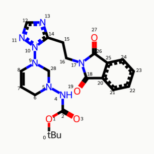 CC(C)(C)OC(=O)NN1CC=CN(n2ncnc2CCN2C(=O)c3ccccc3C2=O)C1